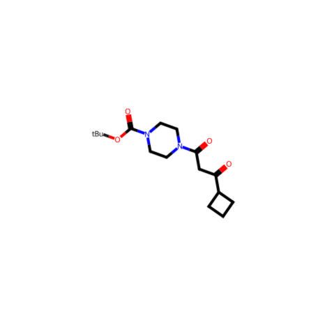 CC(C)(C)OC(=O)N1CCN(C(=O)CC(=O)C2CCC2)CC1